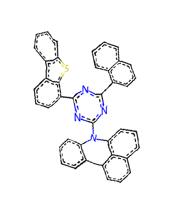 c1ccc2c(c1)-c1cccc3cccc(c13)N2c1nc(-c2cccc3ccccc23)nc(-c2cccc3c2sc2ccccc23)n1